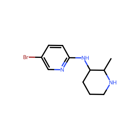 CC1NCCCC1Nc1ccc(Br)cn1